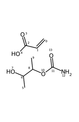 C=CC(=O)O.CC(O)C(C)OC(N)=O